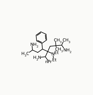 CCCC(N)C(CC(C)(C)C(C)N)(C(CC(C)N)c1ccccc1)N(CC)CC